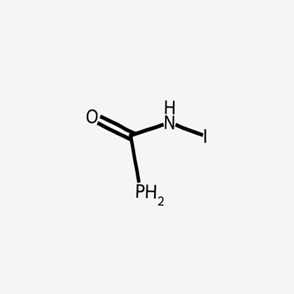 O=C(P)NI